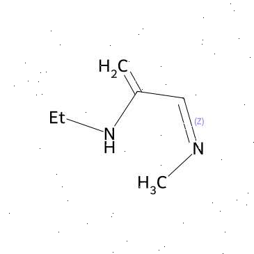 C=C(/C=N\C)NCC